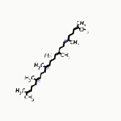 CC(C)=CCC/C(C)=C/CC/C(C)=C/CC/C=C(\C)CC/C=C(\C)CCC=C(C)C.[Pb]